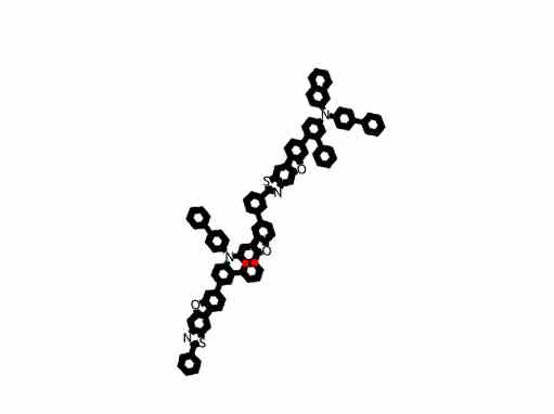 c1ccc(-c2ccc(N(c3ccc(-c4ccc5c(c4)oc4cc6nc(-c7cccc(-c8ccc9oc%10ccc(N(c%11ccc(-c%12ccccc%12)cc%11)c%11ccc(-c%12ccc%13c(c%12)oc%12cc%14nc(-c%15ccccc%15)sc%14cc%12%13)cc%11-c%11ccccc%11)cc%10c9c8)c7)sc6cc45)c(-c4ccccc4)c3)c3ccc4ccccc4c3)cc2)cc1